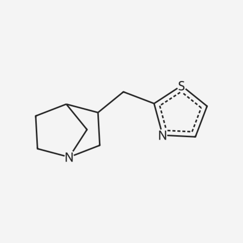 c1csc(CC2CN3CCC2C3)n1